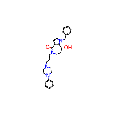 O=C1c2ccn(Cc3ccccc3)c2C(O)CCN1CCCN1CCN(c2ccccc2)CC1